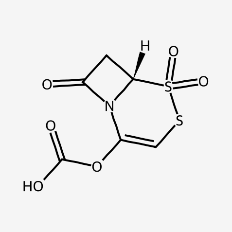 O=C(O)OC1=CSS(=O)(=O)[C@H]2CC(=O)N12